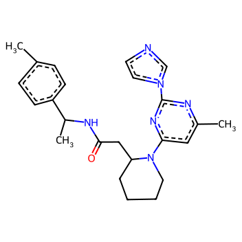 Cc1ccc(C(C)NC(=O)CC2CCCCN2c2cc(C)nc(-n3ccnc3)n2)cc1